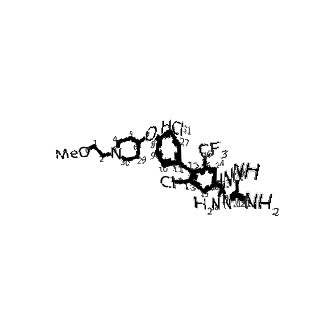 COCCN1CCC(Oc2ccc(-c3c(Cl)cc(C4(N)N=C(N)NN4)cc3C(F)(F)F)cc2)CC1.Cl